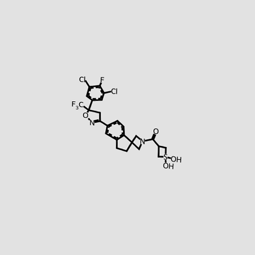 O=C(C1CS(O)(O)C1)N1CC2(CCc3cc(C4=NOC(c5cc(Cl)c(F)c(Cl)c5)(C(F)(F)F)C4)ccc32)C1